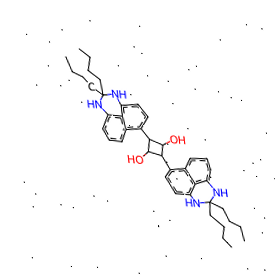 CCCCC1(CCCC)Nc2cccc3c(C4C(O)C(c5ccc6c7c(cccc57)NC(CCCC)(CCCC)N6)C4O)ccc(c23)N1